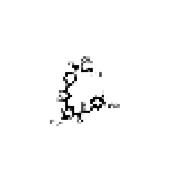 COc1cc(CNC(=O)c2cc(C3=NOC(C4CCN(C(=O)N(C)CCO)CC4)C3)nc(C)n2)ccc1F